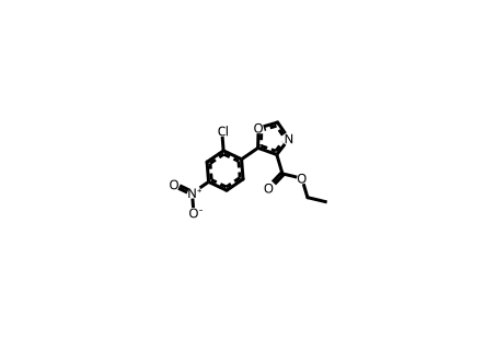 CCOC(=O)c1ncoc1-c1ccc([N+](=O)[O-])cc1Cl